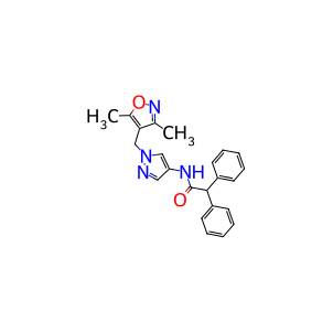 Cc1noc(C)c1Cn1cc(NC(=O)C(c2ccccc2)c2ccccc2)cn1